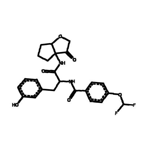 O=C(NC(Cc1cccc(O)c1)C(=O)NC12CCCC1OCC2=O)c1ccc(OC(F)F)cc1